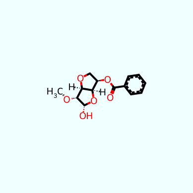 CO[C@@H]1[C@H]2OC[C@@H](OC(=O)c3ccccc3)[C@H]2O[C@@H]1O